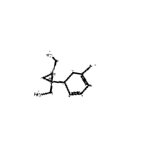 OC[C@@H]1C[C@@]1(CO)C1C=CC=C(F)C1